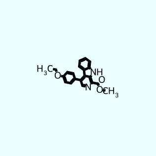 CCOc1ccc(-c2cnc(C(=O)OC)c3[nH]c4ccccc4c23)cc1